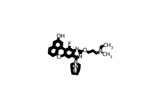 CCN(C)CCCOc1nc(N2CC3CCC(C2)N3)c2cc(Cl)c(-c3cc(O)cc4ccccc34)c(F)c2n1